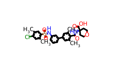 Cc1cc(S(=O)(=O)Nc2cccc(-c3cc(C)c(C(=O)NC4(C(=O)O)CCOCC4)c(C)c3)c2)c(C)cc1Cl